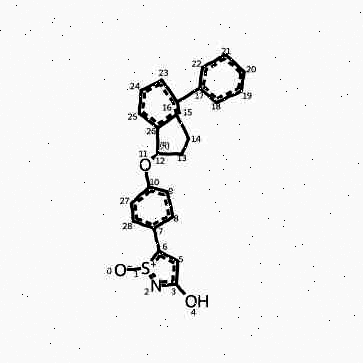 [O-][s+]1nc(O)cc1-c1ccc(O[C@@H]2CCc3c(-c4ccccc4)cccc32)cc1